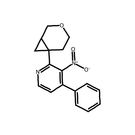 O=[N+]([O-])c1c(-c2ccccc2)ccnc1C12CCOCC1C2